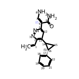 C=Cc1nnc(/C(=C/N)C(N)=O)cc1C1C[C@@H]1c1ccccc1